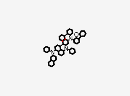 c1ccc(-c2ccccc2N(c2ccc3c(c2)N(c2ccccc2)c2cccc4c(N(c5ccccc5)c5ccc6ccccc6c5)ccc-3c24)c2cccc3c2oc2ccccc23)cc1